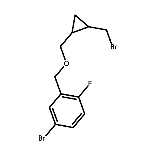 Fc1ccc(Br)cc1COCC1CC1CBr